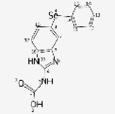 O=C(O)Nc1nc2cc([Se]c3ccccc3)ccc2[nH]1